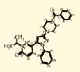 CC(C)n1nc(-c2cc(N3CCN(C(=O)c4ccccc4)CC3)nn2-c2ccccc2)ccc1=O